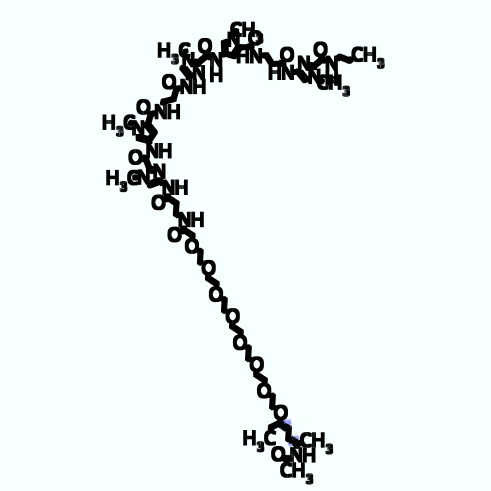 CCCNC(=O)c1nc(NC(=O)CCNC(=O)c2cc(NC(=O)c3nc(NC(=O)CCNC(=O)c4cc(NC(=O)c5nc(NC(=O)CCNC(=O)COCCOCCOCCOCCOCCOCCOCCO/C(=C/C=C(\C)NC(C)=O)CC)cn5C)cn4C)cn3C)cn2C)cn1C